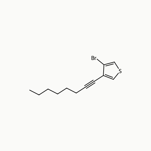 CCCCCCC#Cc1cscc1Br